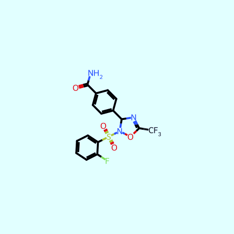 NC(=O)c1ccc(C2N=C(C(F)(F)F)ON2S(=O)(=O)c2ccccc2F)cc1